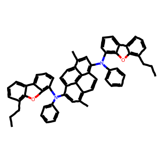 CCCc1cccc2c1oc1c(N(c3ccccc3)c3cc(C)c4ccc5c(N(c6ccccc6)c6cccc7c6oc6c(CCC)cccc67)cc(C)c6ccc3c4c65)cccc12